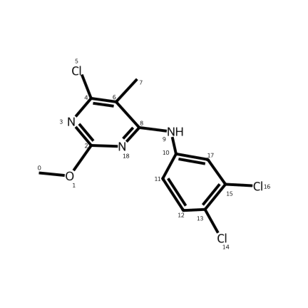 COc1nc(Cl)c(C)c(Nc2ccc(Cl)c(Cl)c2)n1